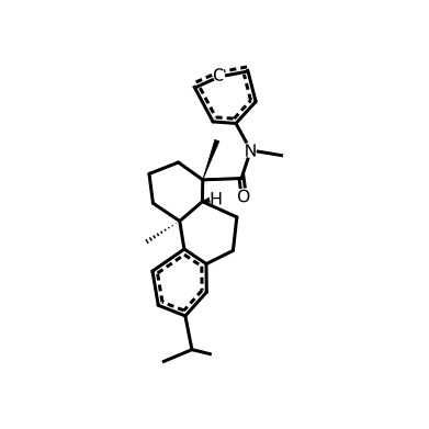 CC(C)c1ccc2c(c1)CC[C@H]1[C@@](C)(C(=O)N(C)c3ccccc3)CCC[C@]21C